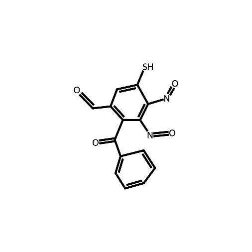 O=Cc1cc(S)c(N=O)c(N=O)c1C(=O)c1ccccc1